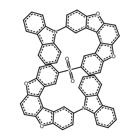 O=S(=O)(c1ccc2oc3ccc4oc5ccc(-n6c7ccccc7c7ccccc76)cc5c4c3c2c1)c1ccc2oc3ccc4oc5ccc(-n6c7ccccc7c7ccccc76)cc5c4c3c2c1